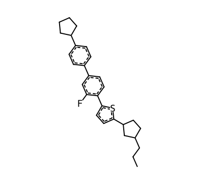 CCCC1CCC(c2ccc(-c3ccc(-c4ccc(C5CCCC5)cc4)cc3F)s2)C1